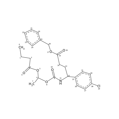 CCCC(=O)OC(C)OC(=O)NC(CCC(=O)OCc1ccccc1)c1ccc(Cl)cc1